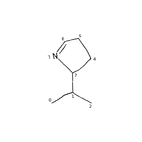 CC(C)C1CCC=N1